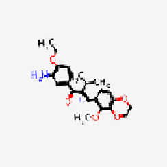 CCOc1ccc(C(=O)/C(=C/c2ccc3c(c2OC)OCCO3)C(C)C)cc1N